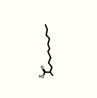 CCCCCCC[CH]CCC(C)C(=O)O